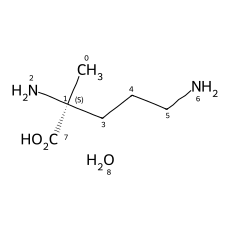 C[C@](N)(CCCN)C(=O)O.O